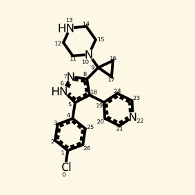 Clc1ccc(-c2[nH]nc(C3(N4CCNCC4)CC3)c2-c2ccncc2)cc1